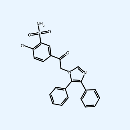 NS(=O)(=O)c1cc(C(=O)Cn2cnc(-c3ccccc3)c2-c2ccccc2)ccc1Cl